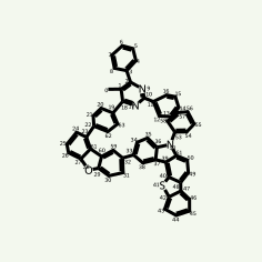 Cc1c(-c2ccccc2)nc(-c2ccccc2)nc1-c1ccc(-c2cccc3oc4ccc(-c5ccc6c(c5)c5c7sc8ccccc8c7ccc5n6-c5ccccc5)cc4c23)cc1